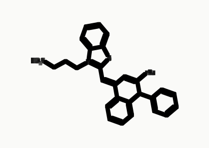 CCCCC1=C/C(=C\c2sc3ccccc3[n+]2CCCS(=O)(=O)O)c2ccccc2C1c1ccccc1